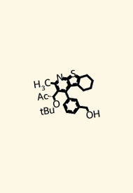 CC(=O)[C@@H](OC(C)(C)C)c1c(C)nc2sc3c(c2c1-c1cccc(CO)c1)CCCC3